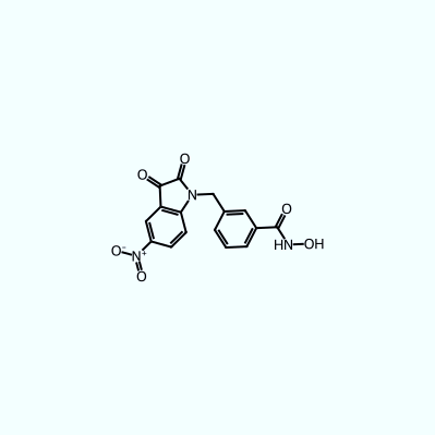 O=C(NO)c1cccc(CN2C(=O)C(=O)c3cc([N+](=O)[O-])ccc32)c1